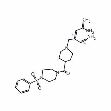 C=C(N)/C=C(\C=C/N)CN1CCC(C(=O)N2CCN(S(=O)(=O)c3ccccc3)CC2)CC1